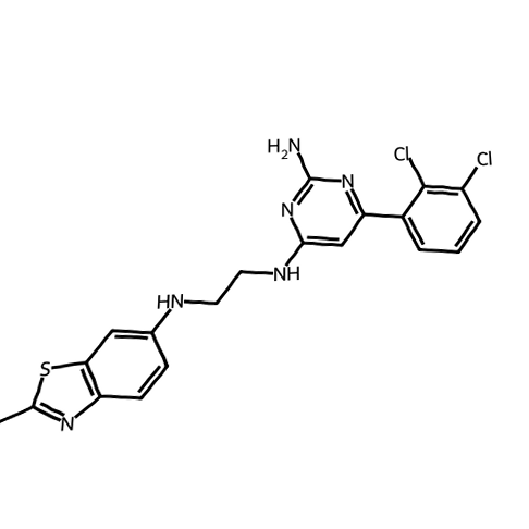 Cc1nc2ccc(NCCNc3cc(-c4cccc(Cl)c4Cl)nc(N)n3)cc2s1